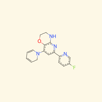 Fc1ccc(-c2cc(N3C=CC=CC3)c3c(n2)NCCO3)nc1